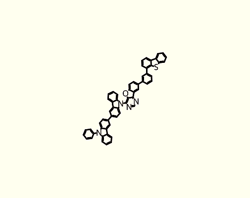 c1ccc(-n2c3ccccc3c3cc(-c4ccc5c(c4)c4ccccc4n5-c4ncnc5c4oc4ccc(-c6cccc(-c7cccc8c7sc7ccccc78)c6)cc45)ccc32)cc1